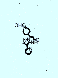 O=CN1CCC(c2cc(=O)[nH]c3c(-c4ccccn4)cnn23)CC1